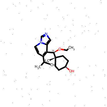 CCO[C@H](c1c(C(C)C)ccn2cncc12)[C@]1(C)CC[C@@H](O)CC1